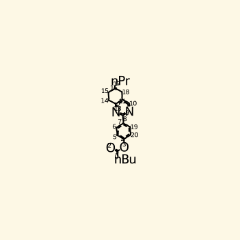 CCCCC(=O)Oc1ccc(-c2ncc3c(n2)CCC(CCC)C3)cc1